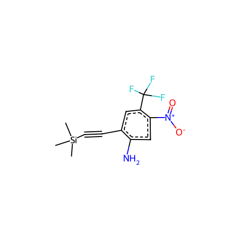 C[Si](C)(C)C#Cc1cc(C(F)(F)F)c([N+](=O)[O-])cc1N